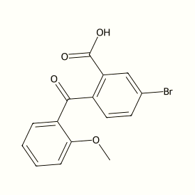 COc1ccccc1C(=O)c1ccc(Br)cc1C(=O)O